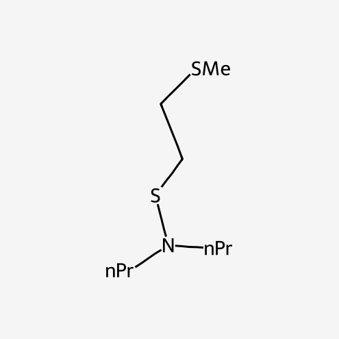 CCCN(CCC)SCCSC